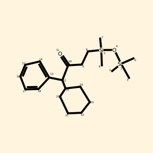 C[Si](C)(C)O[Si](C)(C)CCC(=O)C(c1ccccc1)C1CCCCC1